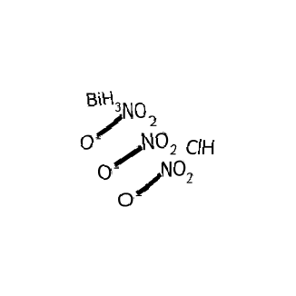 Cl.O=[N+]([O-])[O-].O=[N+]([O-])[O-].O=[N+]([O-])[O-].[BiH3]